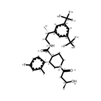 Cc1cc(F)ccc1[C@H]1CN(C(=O)C[C@H](C)O)CC[C@@H]1C(=O)NC[C@H](C)c1cc(C(F)(F)F)cc(C(F)(F)F)c1